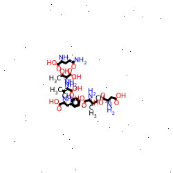 CC(C)[C@H](N)C(=O)O.CC[C@H](C)[C@H](N)C(=O)O.C[C@@H](O)[C@H](N)C(=O)O.NC(=O)CC[C@H](N)C(=O)O.N[C@@H](CC(=O)O)C(=O)O.N[C@@H](Cc1ccccc1)C(=O)O